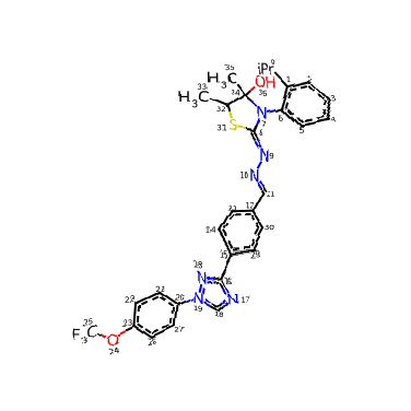 CC(C)c1ccccc1N1/C(=N/N=C/c2ccc(-c3ncn(-c4ccc(OC(F)(F)F)cc4)n3)cc2)SC(C)C1(C)O